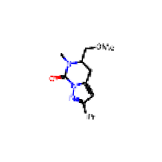 COCC1Cc2cc(C(C)C)nn2C(=O)N1C